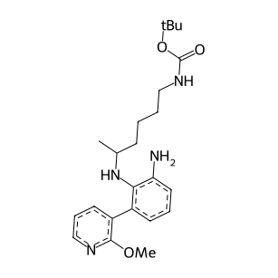 COc1ncccc1-c1cccc(N)c1NC(C)CCCCNC(=O)OC(C)(C)C